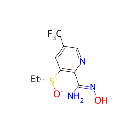 CC[S@@+]([O-])c1cc(C(F)(F)F)cnc1C(N)=NO